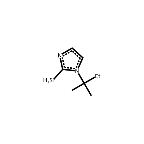 CCC(C)(C)n1ccnc1[SiH3]